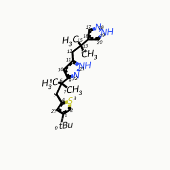 CC(C)(C)c1csc(CC(C)(C)c2cc(CC(C)(C)c3cn[nH]c3)[nH]n2)c1